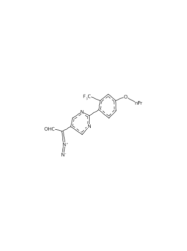 CCCOc1ccc(-c2ncc(C(C=O)=[N+]=[N-])cn2)c(C(F)(F)F)c1